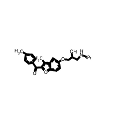 Cc1ccc(C(=O)c2oc3ccc(OCC(O)CNC(C)C)cc3c2C)cc1